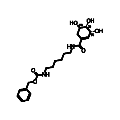 O=C(NCCCCCCNC(=O)C1=C[C@@H](O)[C@@H](O)[C@H](O)C1)OCc1ccccc1